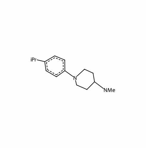 CNC1CCN(c2ccc(C(C)C)cc2)CC1